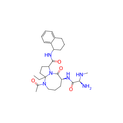 CCC12CCC(C(=O)NC3CCCc4ccccc43)N1C(=O)[C@@H](NC(=O)[C@H](N)NC)CCCN2C(C)=O